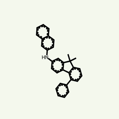 CC1(C)c2cc(Nc3ccc4ccccc4c3)ccc2-c2c(-c3ccccc3)cccc21